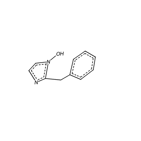 On1ccnc1Cc1ccccc1